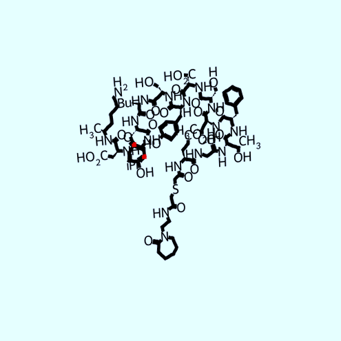 CC[C@H](C)[C@H](NC(=O)[C@H](CO)NC(=O)[C@H](Cc1ccc(O)cc1)NC(=O)[C@H](CC(=O)O)NC(=O)[C@H](CO)NC(=O)[C@@H](NC(=O)[C@H](Cc1ccccc1)NC(=O)[C@@H](NC(=O)CNC(=O)[C@H](CCC(=O)O)NC(=O)CSCC(=O)NCCN1CCCCCC1=O)[C@@H](C)O)[C@@H](C)O)C(=O)N[C@@H](Cc1ccc(O)cc1)C(=O)N[C@@H](CC(C)C)C(=O)N[C@@H](CC(=O)O)C(=O)N[C@H](C)CCCCN